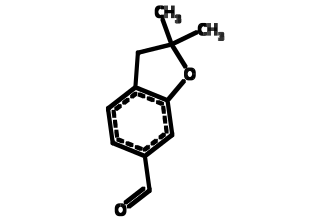 CC1(C)Cc2ccc(C=O)cc2O1